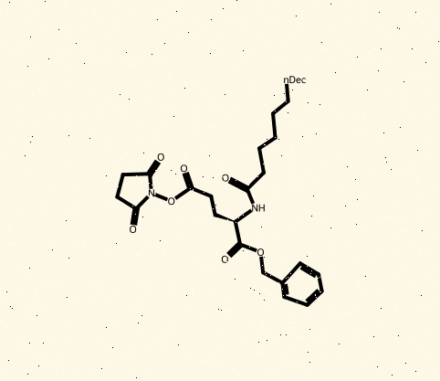 CCCCCCCCCCCCCCCC(=O)N[C@H](CCC(=O)ON1C(=O)CCC1=O)C(=O)OCc1ccccc1